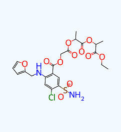 CCOC(=O)C(C)OC(=O)C(C)OC(=O)COC(=O)c1cc(S(N)(=O)=O)c(Cl)cc1NCc1ccco1